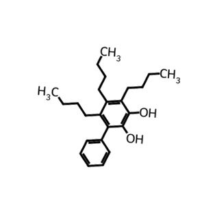 CCCCc1c(O)c(O)c(-c2ccccc2)c(CCCC)c1CCCC